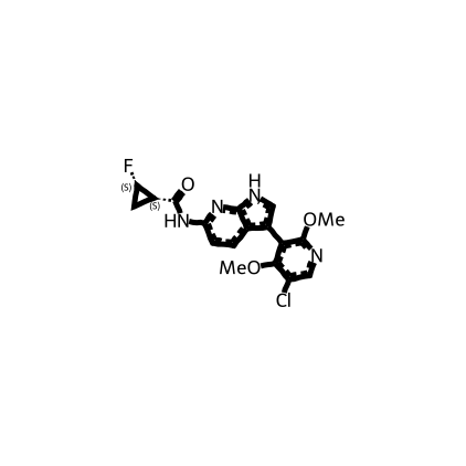 COc1ncc(Cl)c(OC)c1-c1c[nH]c2nc(NC(=O)[C@@H]3C[C@@H]3F)ccc12